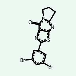 O=c1c2nc(-c3cc(Br)cc(Br)c3)sc2nc2n1CCC2